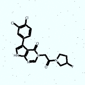 O=C(Cn1cnc2[nH]cc(-c3ccc(Cl)c(Cl)c3)c2c1=O)N1CCC(F)C1